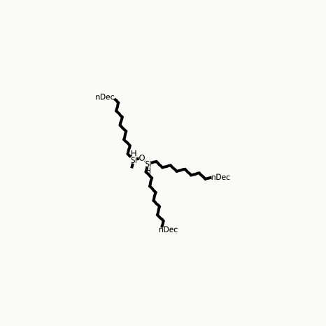 CCCCCCCCCCCCCCCCCC[SiH](C)O[SiH](CCCCCCCCCCCCCCCCCC)CCCCCCCCCCCCCCCCCC